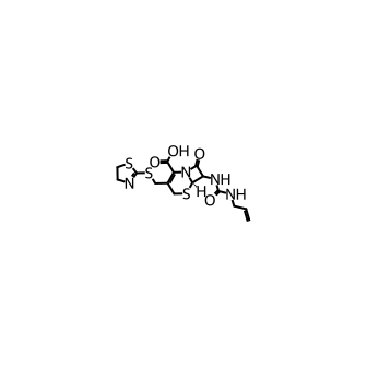 C=CCNC(=O)NC1C(=O)N2C(C(=O)O)=C(CSC3=NCCS3)CS[C@H]12